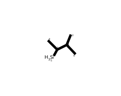 C[C](C)C(C)[SiH3]